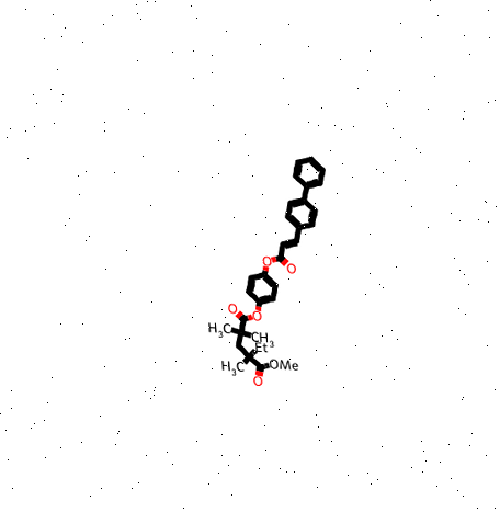 CCC(C)(CC(C)(C)C(=O)Oc1ccc(OC(=O)/C=C/c2ccc(-c3ccccc3)cc2)cc1)C(=O)OC